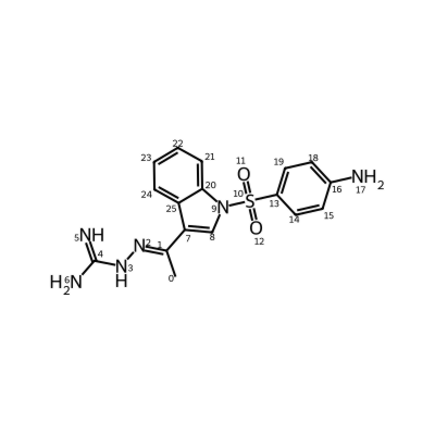 CC(=NNC(=N)N)c1cn(S(=O)(=O)c2ccc(N)cc2)c2ccccc12